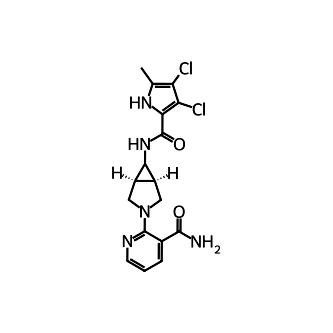 Cc1[nH]c(C(=O)NC2[C@H]3CN(c4ncccc4C(N)=O)C[C@@H]23)c(Cl)c1Cl